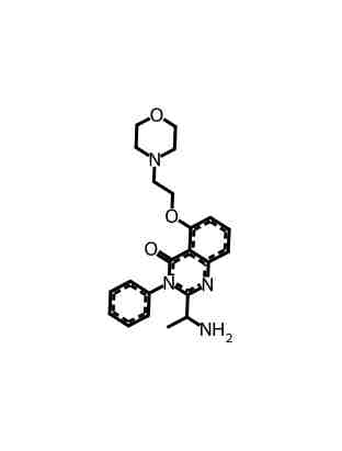 CC(N)c1nc2cccc(OCCN3CCOCC3)c2c(=O)n1-c1ccccc1